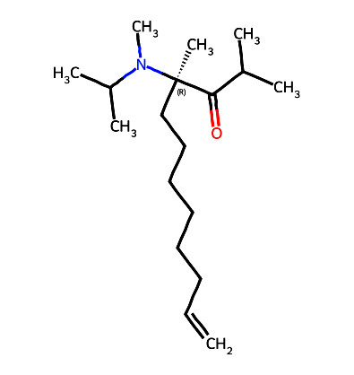 C=CCCCCCC[C@](C)(C(=O)C(C)C)N(C)C(C)C